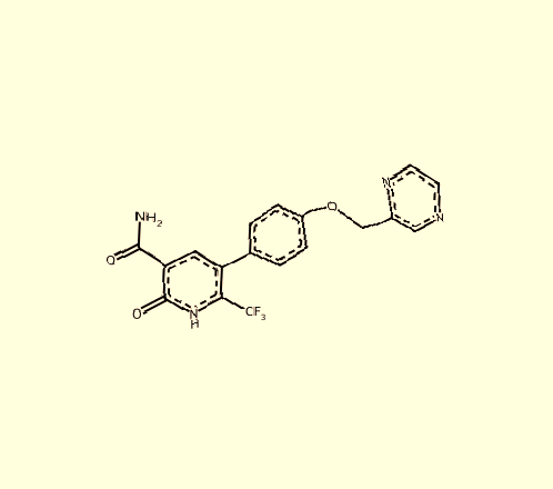 NC(=O)c1cc(-c2ccc(OCc3cnccn3)cc2)c(C(F)(F)F)[nH]c1=O